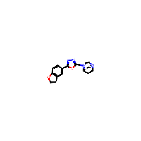 c1cc2c(cc1-c1nnc(N3CCN4CCC3CC4)o1)CCO2